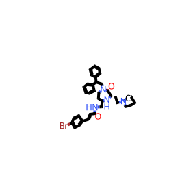 O=C(/C=C/c1ccc(Br)cc1)NCC1CCN(CC(c2ccccc2)c2ccccc2)C(=O)[C@H](CCN2CCCCC2)N1